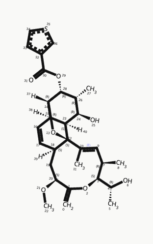 C=C1O[C@H]([C@@H](C)O)[C@H](C)/C=C(\C)[C@]23O[C@@H]4[C@H](C=C[C@@H]2C[C@@H]1OC)[C@H]3[C@H](O)[C@@H](C)[C@H]4OC(=O)c1ccsc1